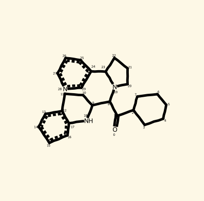 O=C(C1CCCCC1)C(C1CCc2ccccc2N1)N1CCCC1c1cccnc1